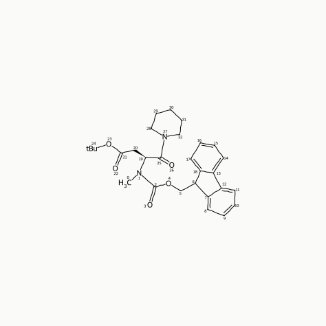 CN(C(=O)OCC1c2ccccc2-c2ccccc21)[C@@H](CC(=O)OC(C)(C)C)C(=O)N1CCCCC1